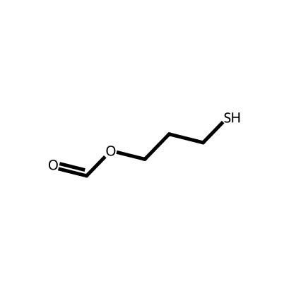 O=COCCCS